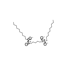 CCCCCCCCCC[S+]([O-])[S+]([O-])CCCCC[S+]([O-])[S+]([O-])CCCCCCCCCC